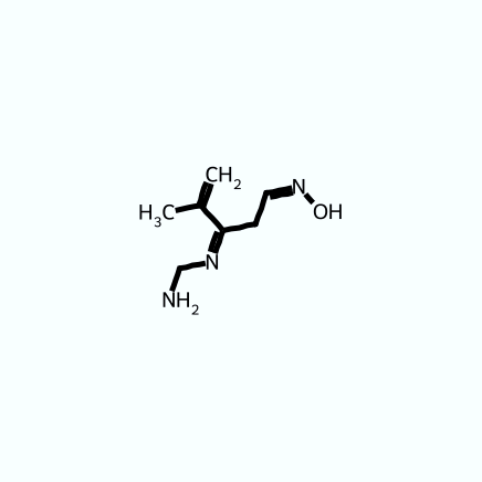 C=C(C)/C(C/C=N\O)=N\CN